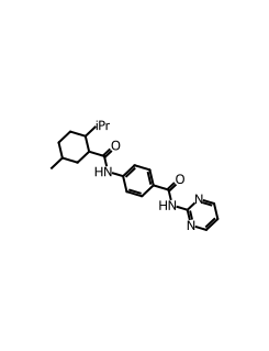 CC1CCC(C(C)C)C(C(=O)Nc2ccc(C(=O)Nc3ncccn3)cc2)C1